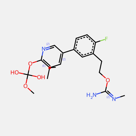 C\C=C(/N=C\C(=C/CC)c1ccc(F)c(CCO/C(N)=N\C)c1)OC(O)(O)OC